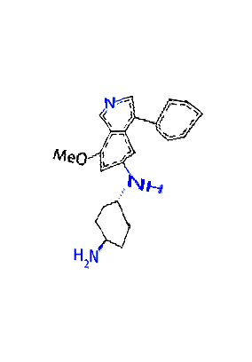 COc1cc(N[C@H]2CC[C@H](N)CC2)cc2c(-c3ccccc3)cncc12